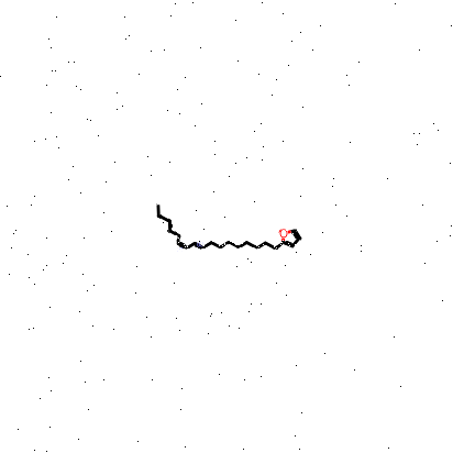 CCCCC/C=C\C=C\CCCCCCCCc1ccco1